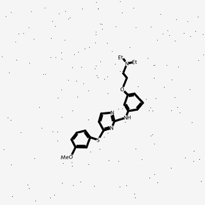 CCN(CC)CCOc1cccc(Nc2nccc(Sc3cccc(OC)c3)n2)c1